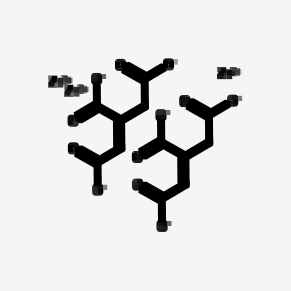 O=C([O-])C=C(CC(=O)[O-])C(=O)[O-].O=C([O-])C=C(CC(=O)[O-])C(=O)[O-].[Zn+2].[Zn+2].[Zn+2]